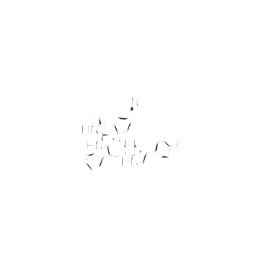 N#Cc1ccc(C2(c3n[nH]c(=O)o3)N[C@@H](c3nc(-c4ccc(F)cc4)c[nH]3)Cc3c2[nH]c2ccccc32)cc1